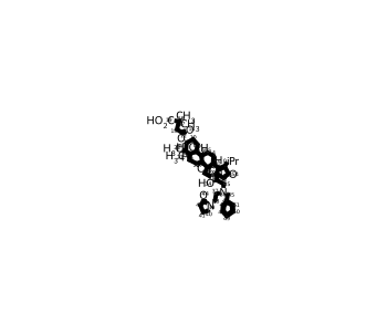 CC(C)C1=C2[C@H]3CC[C@@H]4[C@@]5(C)CCC(OC(=O)CC(C)(C)C(=O)O)C(C)(C)[C@@H]5CC[C@@]4(C)[C@]3(C)CC[C@@]2([C@H](O)CN(CCN2CCCC2=O)Cc2ccccc2)CC1=O